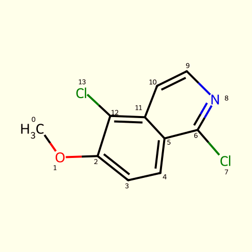 COc1ccc2c(Cl)nccc2c1Cl